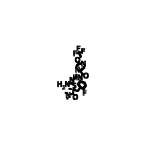 CC/N=C(/N)S[C@](C)(Cc1cc(NC(=O)c2cnc(OCC(F)(F)F)cn2)ccc1F)C(=O)N(C)C